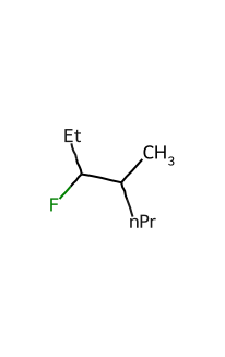 CCCC(C)C(F)CC